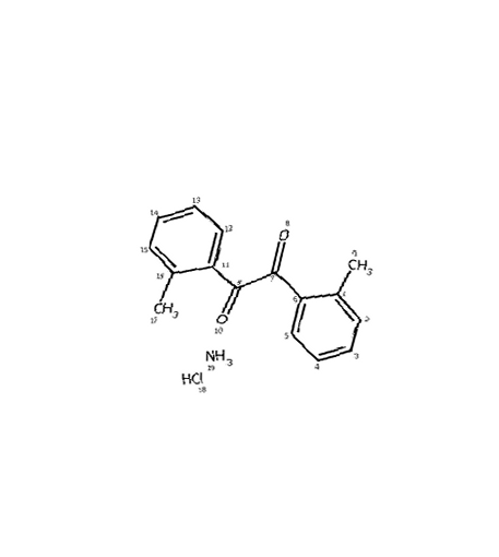 Cc1ccccc1C(=O)C(=O)c1ccccc1C.Cl.N